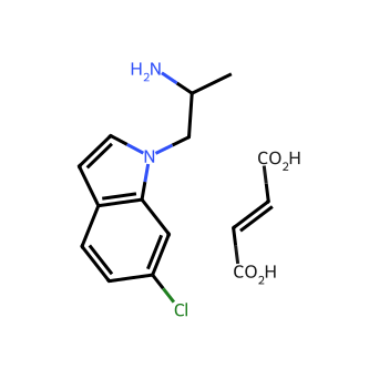 CC(N)Cn1ccc2ccc(Cl)cc21.O=C(O)C=CC(=O)O